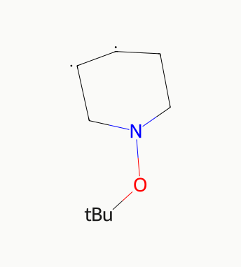 CC(C)(C)ON1C[CH][CH]CC1